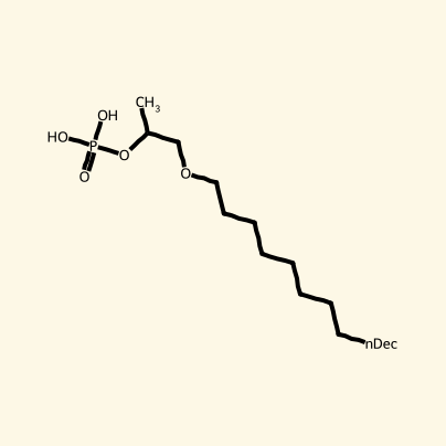 CCCCCCCCCCCCCCCCCCOCC(C)OP(=O)(O)O